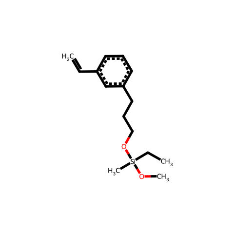 C=Cc1cccc(CCCO[Si](C)(CC)OC)c1